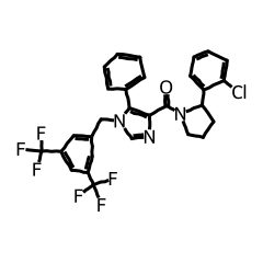 O=C(c1ncn(Cc2cc(C(F)(F)F)cc(C(F)(F)F)c2)c1-c1ccccc1)N1CCCC1c1ccccc1Cl